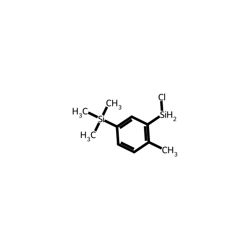 Cc1ccc([Si](C)(C)C)cc1[SiH2]Cl